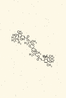 Cc1cc(C=CC(=O)OCC(C)(C)C2OCC3(CO2)COC(C(C)(C)COC(=O)C=Cc2cc(C)c(O)c(C(C)(C)C)c2O)OC3)c(O)c(C(C)(C)C)c1O